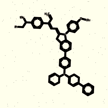 C=C/C(=C\C=C1/Cc2cc(-c3ccc(N(C4=CC=C(c5ccccc5)CC4)C4C=CC=CC4)cc3)ccc2N1c1ccc(OC(C)(C)C)cc1)c1ccc(C(CC(C)C)C(C)(C)C)cc1